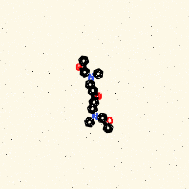 c1ccc(N(c2ccc3cc4c(cc3c2)oc2cc3cc(N(c5ccccc5)c5ccc6oc7ccccc7c6c5)ccc3cc24)c2ccc3oc4ccccc4c3c2)cc1